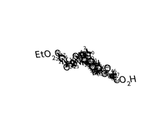 C=C(C)[C@@H]1CC[C@]2(C(=O)N[C@H]3C[C@@H](C(=O)N4CCC(C(=O)OCC)CC4)C3(C)C)CC[C@]3(C)[C@H](CC[C@@H]4[C@@]5(C)CC[C@H](OC(=O)[C@H]6C[C@@H](C(=O)O)C6(C)C)C(C)(C)[C@@H]5CC[C@]43C)[C@@H]12